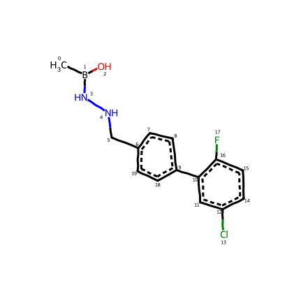 CB(O)NNCc1ccc(-c2cc(Cl)ccc2F)cc1